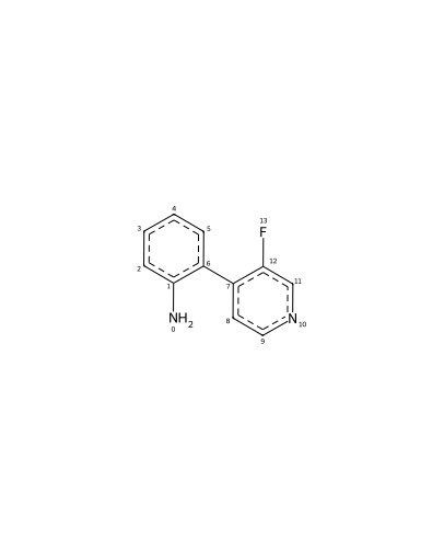 Nc1ccccc1-c1ccncc1F